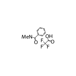 CNC(=O)c1ccccc1.O=C(O)C(F)(F)F